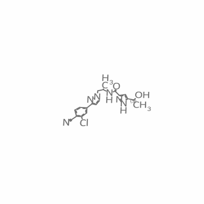 CC(Cn1ccc(-c2ccc(C#N)c(Cl)c2)n1)NC(=O)c1cc([C@H](C)O)[nH]n1